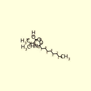 CCCCCCCCC(=O)NC(C(=O)O)C(C)C